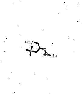 CCCCNO[C@H](CC(=O)O)C[N+](C)(C)C